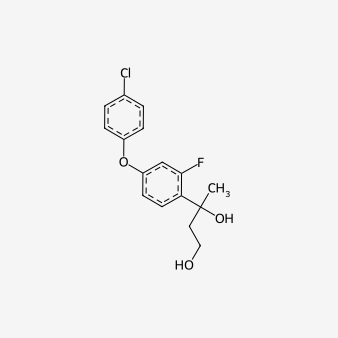 CC(O)(CCO)c1ccc(Oc2ccc(Cl)cc2)cc1F